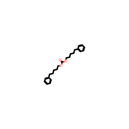 O=C(OCCCCCc1ccccc1)OCCCCCc1ccccc1